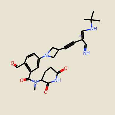 CN(C(=O)c1cc(N2CC(C#C/C(C=N)=C/NC(C)(C)C)C2)ccc1C=O)C1CCC(=O)NC1=O